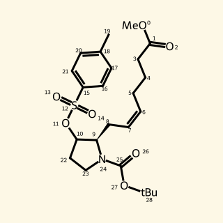 COC(=O)CCC/C=C\C[C@@H]1C(OS(=O)(=O)c2ccc(C)cc2)CCN1C(=O)OC(C)(C)C